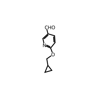 O=Cc1ccc(OCC2CC2)nc1